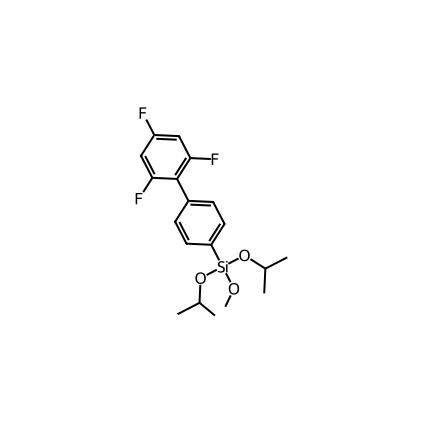 CO[Si](OC(C)C)(OC(C)C)c1ccc(-c2c(F)cc(F)cc2F)cc1